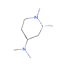 C[C@@H]1CC(N(C)C)CCN1C